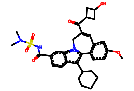 COc1ccc2c(c1)C=C(C(=O)C1CC(O)C1)Cn1c-2c(C2CCCCC2)c2ccc(C(=O)NS(=O)(=O)N(C)C)cc21